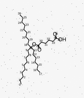 CCCCCCCCCCC(CCCCCCC)(CCCCCCCCC)OC(=O)CCCCC(=O)O